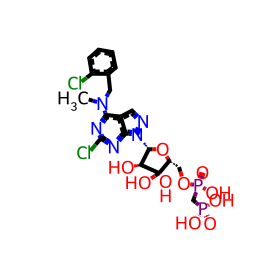 CN(Cc1ccccc1Cl)c1nc(Cl)nc2c1cnn2[C@@H]1O[C@H](COP(=O)(O)CP(=O)(O)O)C(O)(O)[C@H]1O